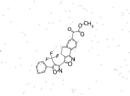 COC(=O)C(=O)c1ccc2c(c1)CCc1c-2noc1-c1noc(-c2ccccc2)c1C(F)(F)F